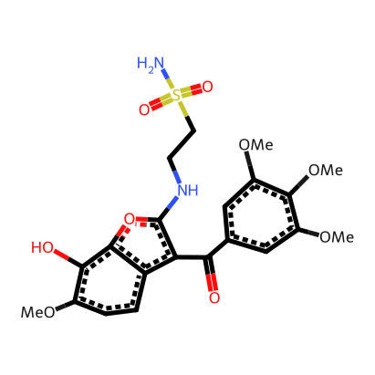 COc1cc(C(=O)c2c(NCCS(N)(=O)=O)oc3c(O)c(OC)ccc23)cc(OC)c1OC